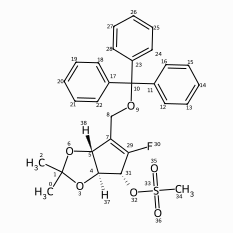 CC1(C)O[C@H]2[C@H](O1)C(COC(c1ccccc1)(c1ccccc1)c1ccccc1)=C(F)[C@@H]2OS(C)(=O)=O